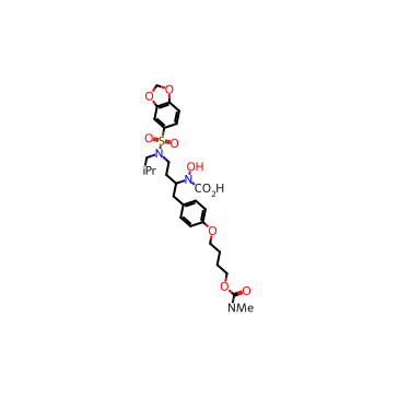 CNC(=O)OCCCCOc1ccc(CC(CCN(CC(C)C)S(=O)(=O)c2ccc3c(c2)OCO3)N(O)C(=O)O)cc1